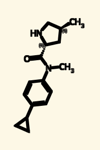 C[C@@H]1CN[C@@H](C(=O)N(C)c2ccc(C3CC3)cc2)C1